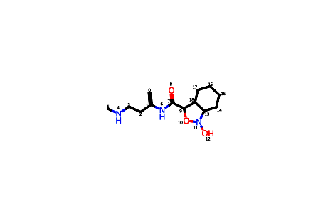 C=C(CCNC)NC(=O)C1ON(O)C2CCCCC12